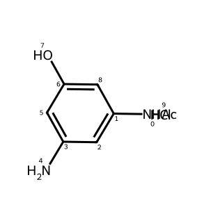 CC(=O)Nc1cc(N)cc(O)c1.Cl